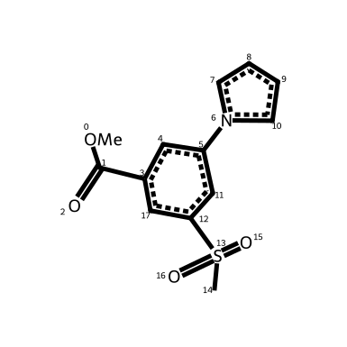 COC(=O)c1cc(-n2cccc2)cc(S(C)(=O)=O)c1